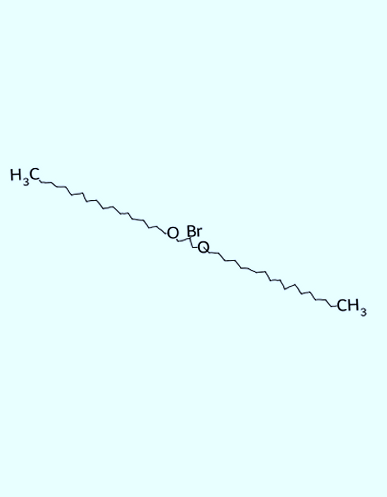 CCCCCCCCCCCCCCCCCCOCC(Br)COCCCCCCCCCCCCCCCCCC